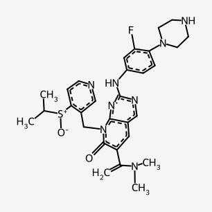 C=C(c1cc2cnc(Nc3ccc(N4CCNCC4)c(F)c3)nc2n(Cc2cnccc2[S+]([O-])C(C)C)c1=O)N(C)C